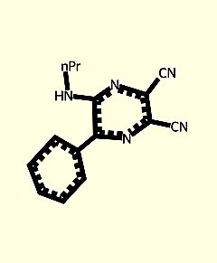 CCCNc1nc(C#N)c(C#N)nc1-c1ccccc1